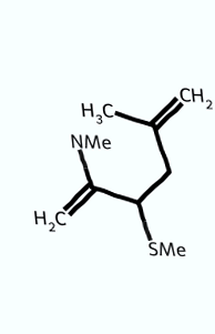 C=C(C)CC(SC)C(=C)NC